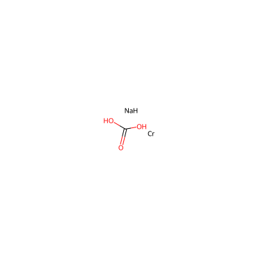 O=C(O)O.[Cr].[NaH]